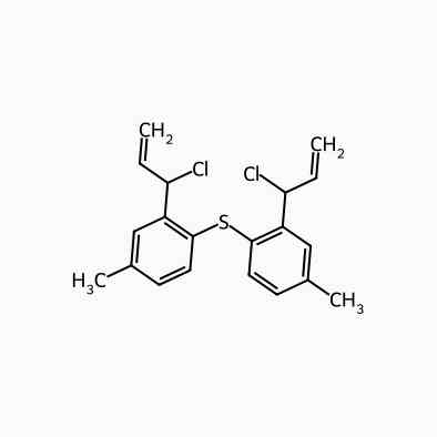 C=CC(Cl)c1cc(C)ccc1Sc1ccc(C)cc1C(Cl)C=C